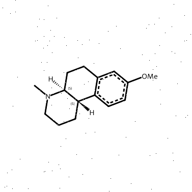 COc1ccc2c(c1)CC[C@H]1[C@H]2CCCN1C